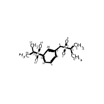 CC(C)S(=O)(=O)Cc1cccc(S(=O)(=O)C(C)C)c1